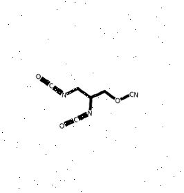 N#COCC(CN=C=O)N=C=O